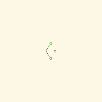 ClCCl.[Ti]